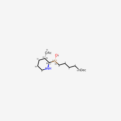 CCCCCCCCCCCCCC[S@@+]([O-])[C@H]1NCCC[C@@H]1OC(C)=O